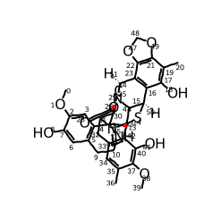 COc1cc2c(cc1O)CCN[C@]21CS[C@@H]2c3c(O)c(C)c4c(c3[C@H](COC1=O)N1CC3Cc5cc(C)c(OC)c(O)c5C(C21)N3C)OCO4